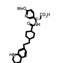 COc1ccc([C@H](CC(=O)O)NC(=O)C2CCC(CCc3ccc4c(c3)NCCC4)CC2)cn1